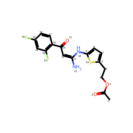 CC(=O)OCCc1ccc(NC(N)=CC(=O)c2ccc(F)cc2F)s1